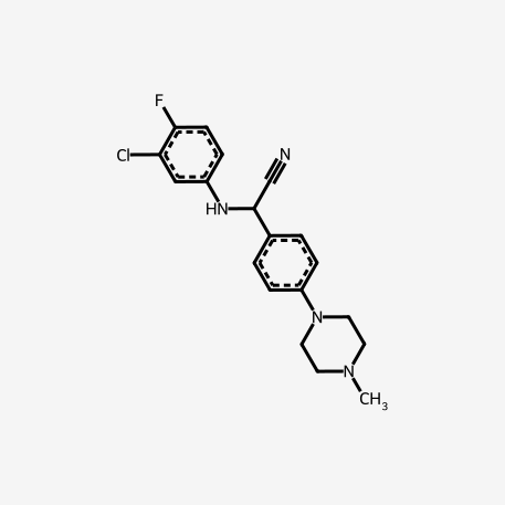 CN1CCN(c2ccc(C(C#N)Nc3ccc(F)c(Cl)c3)cc2)CC1